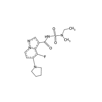 CCN(C)S(=O)(=O)NC(=O)c1cnn2ccc(N3CCCC3)c(F)c12